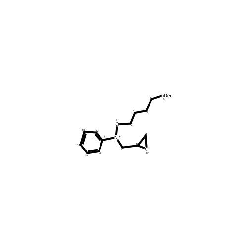 CCCCCCCCCCCCCCON(CC1CO1)c1ccccc1